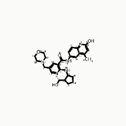 Cc1cc(O)nc2ccc(NC(=O)c3cc(CN4CCOCC4)cnc3NC3CCCC3CO)cc12